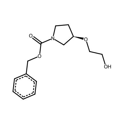 O=C(OCc1ccccc1)N1CC[C@@H](OCCO)C1